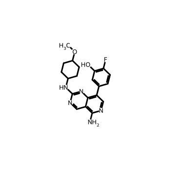 COC1CCC(Nc2ncc3c(N)ncc(-c4ccc(F)c(O)c4)c3n2)CC1